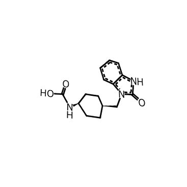 O=C(O)N[C@H]1CC[C@@H](Cn2c(=O)[nH]c3ccccc32)CC1